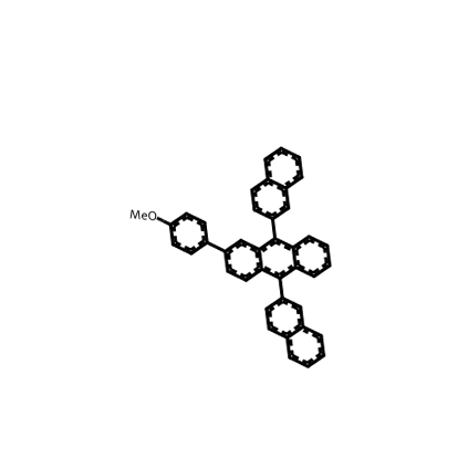 COc1ccc(-c2ccc3c(-c4ccc5ccccc5c4)c4ccccc4c(-c4ccc5ccccc5c4)c3c2)cc1